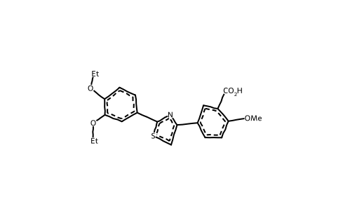 CCOc1ccc(-c2nc(-c3ccc(OC)c(C(=O)O)c3)cs2)cc1OCC